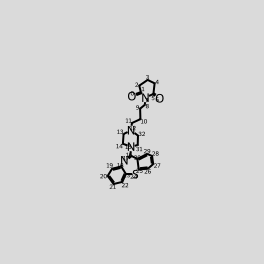 O=C1CCCC(=O)N1CCCCN1CCN(C2=Nc3ccccc3Sc3ccccc32)CC1